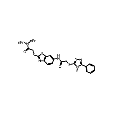 CCCN(CCC)C(=O)CSc1nc2ccc(NC(=O)CSc3nnc(-c4ccccc4)n3C)cc2s1